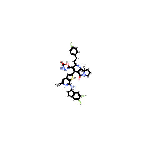 Cc1cc2cc(-c3c4c(nc(CCc5ccc(F)cc5)c3-c3n[nH]c(=O)o3)[C@@H]3CCCN3C4=O)sc2c(N[C@@H]2CCc3cc(F)c(F)cc32)n1